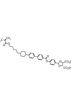 C=C(C)C(=O)OCCCCCC1CCC(c2ccc(-c3ccc(C(=O)Oc4ccc(C5O[C@@H](C(=O)OCC)[C@H](C(=O)OCC)O5)cc4)cc3)cc2)CC1